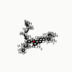 CC[C@H](C)C(CC(O)CC(=O)O[C@H]1[C@@H](O)[C@H](O[C@@H]2O[C@@H](C)[C@H](O[C@@H]3OC[C@@H](O)[C@H](O)[C@H]3O)[C@@H](O)[C@H]2O)[C@@H](OC(=O)[C@]23CCC(C)(C)C[C@H]2C2=CCC4[C@@]5(C)CC[C@H](OC6O[C@H](C(=O)O)[C@@H](O)[C@H](O)[C@H]6O[C@@H]6O[C@H](CO)[C@H](O)[C@H](O)[C@H]6O)[C@@](C)(C=O)C5CC[C@@]4(C)[C@]2(C)C[C@H]3O)O[C@H]1C)OC(=O)CC(O)CC(O[C@@H]1O[C@@H](CO)[C@H](O)[C@H]1O)[C@@H](C)CC